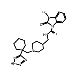 CC(C)n1c(=O)n(C(=O)NCC2CCN(CC3(c4nn[nH]n4)CCCCC3)CC2)c2ccccc21